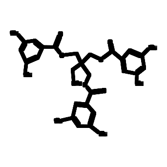 CC(=O)OCC(COC(=O)c1cc(C(C)(C)C)cc(C(C)(C)C)c1)(COC(=O)c1cc(C(C)(C)C)cc(C(C)(C)C)c1)COC(=O)c1cc(C(C)(C)C)cc(C(C)(C)C)c1